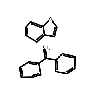 C=C(c1ccccc1)c1ccccc1.c1ccc2occc2c1